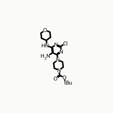 CC(C)(C)OC(=O)N1CCN(c2nc(Cl)nc(NC3CCOCC3)c2N)CC1